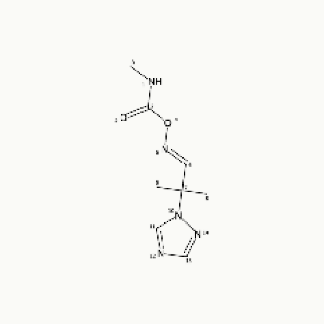 CNC(=O)ON=CC(C)(C)n1cncn1